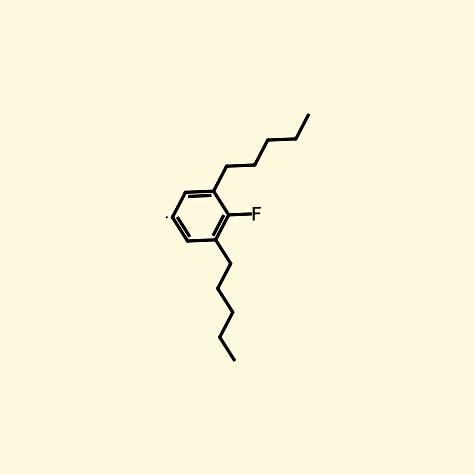 CCCCCc1c[c]cc(CCCCC)c1F